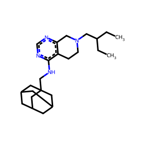 CCC(CC)CN1CCc2c(ncnc2NCC23CC4CC(CC(C4)C2)C3)C1